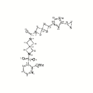 COc1ncccc1S(=O)(=O)N1CC2(CN(C(=O)N3CC4(CC(n5cnc(C6CC6)n5)C4)C3)C2)C1